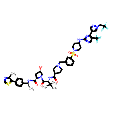 Cc1ncsc1-c1ccc([C@H](C)NC(=O)[C@@H]2C[C@@H](O)CN2C(=O)[C@H](NC(=O)C2CCN(Cc3cccc(S(=O)(=O)N4CCC(Nc5ncc(C(F)(F)F)c(-c6cnn(CC(F)(F)F)c6)n5)CC4)c3)CC2)C(C)(C)C)cc1